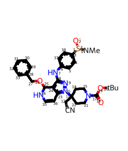 CN[S+]([O-])c1ccc(Nc2nn(C3(CC#N)CCN(C(=O)OC(C)(C)C)CC3)c3c2C(OCc2ccccc2)NC=C3)cc1